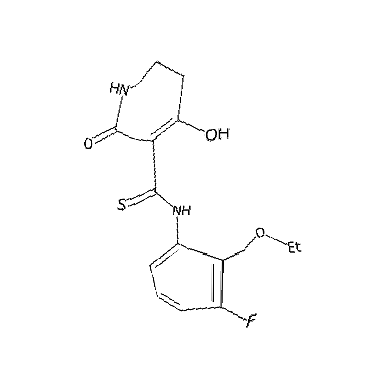 CCOc1c(F)cccc1NC(=S)C1=C(O)CCNC1=O